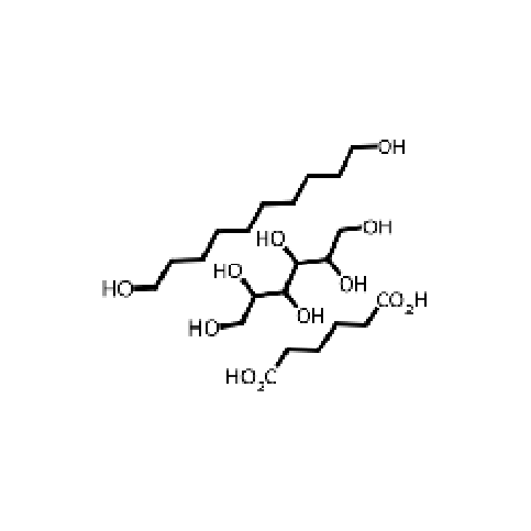 O=C(O)CCCCC(=O)O.OCC(O)C(O)C(O)C(O)CO.OCCCCCCCCCCO